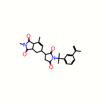 C=C(C)c1cccc(C(C)(C)N2C(=O)CC(C3C=C(C)C4C(=O)N(C)C(=O)C4C3)C2=O)c1